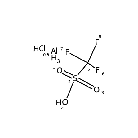 Cl.O=S(=O)(O)C(F)(F)F.[AlH3]